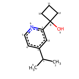 CC(C)c1ccnc(C2(O)CCC2)c1